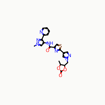 CC1OC(=O)OC1Cn1cc(-c2nc(C(=O)Nc3cn(C)nc3-c3ccccn3)cs2)cn1